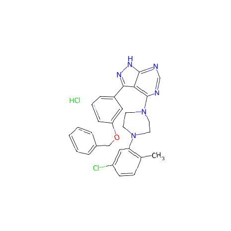 Cc1ccc(Cl)cc1N1CCN(c2ncnc3[nH]nc(-c4cccc(OCc5ccccc5)c4)c23)CC1.Cl